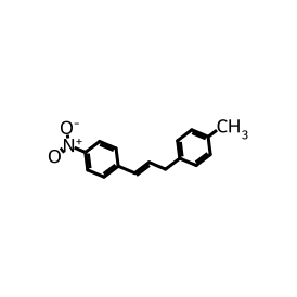 Cc1ccc(CC=Cc2ccc([N+](=O)[O-])cc2)cc1